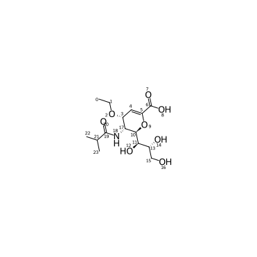 CCO[C@@H]1C=C(C(=O)O)O[C@@H]([C@H](O)[C@H](O)CO)[C@@H]1NC(=O)C(C)C